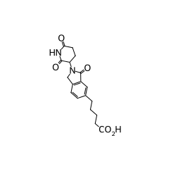 O=C(O)CCCCc1ccc2c(c1)C(=O)N(C1CCC(=O)NC1=O)C2